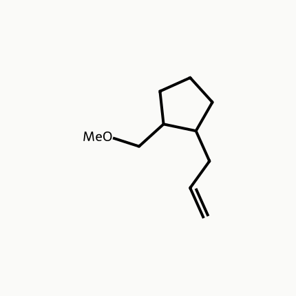 C=CCC1CCCC1COC